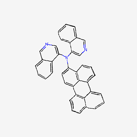 c1ccc2c(N(c3cncc4ccccc34)c3ccc4c5cccc6cccc(c7cccc3c74)c65)cncc2c1